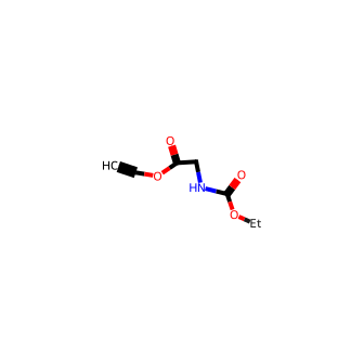 C#COC(=O)CNC(=O)OCC